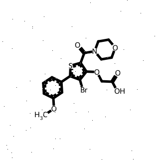 COc1cccc(-c2sc(C(=O)N3CCOCC3)c(OCC(=O)O)c2Br)c1